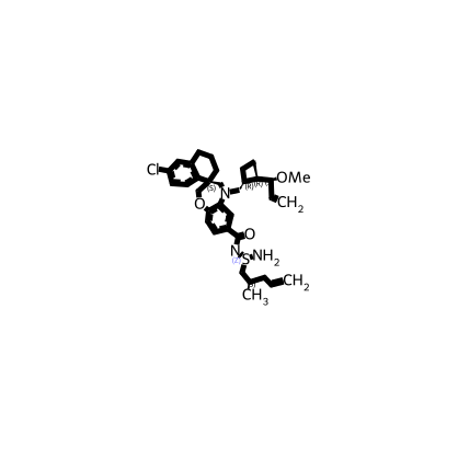 C=CC[C@H](C)C/S(N)=N/C(=O)c1ccc2c(c1)N(C[C@@H]1CC[C@H]1[C@H](C=C)OC)C[C@@]1(CCCc3cc(Cl)ccc31)CO2